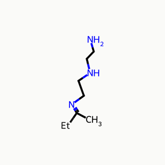 CCC(C)=NCCNCCN